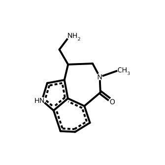 CN1CC(CN)c2c[nH]c3cccc(c23)C1=O